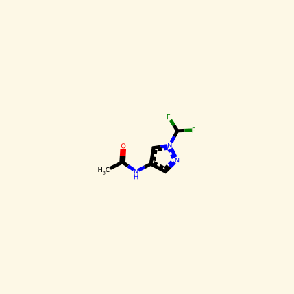 CC(=O)Nc1cnn(C(F)F)c1